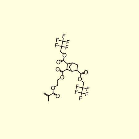 C=C(C)C(=O)OCCOC(=O)C1C2CC(CC2C(=O)OCC(F)(F)C(F)(F)F)C1C(=O)OCC(F)(F)C(F)(F)F